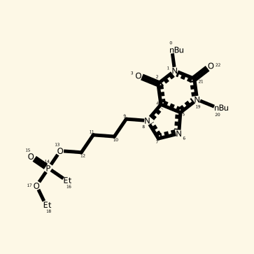 CCCCn1c(=O)c2c(ncn2CCCCOP(=O)(CC)OCC)n(CCCC)c1=O